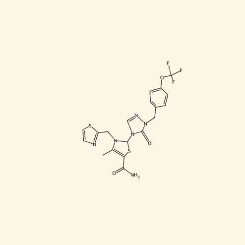 CC1=C(C(N)=O)SC(n2cnn(Cc3ccc(OC(F)(F)F)cc3)c2=O)N1Cc1nccs1